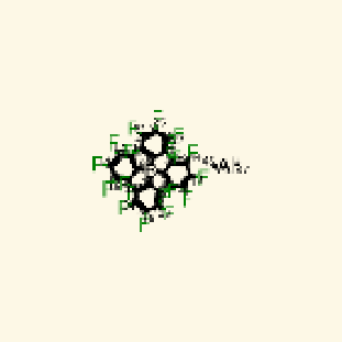 Fc1c(F)c(F)c([B-](c2c(F)c(F)c(F)c(F)c2F)(c2c(F)c(F)c(F)c(F)c2F)c2c(F)c(F)c(F)c(F)c2F)c(F)c1F.[CH3][Al+][CH3]